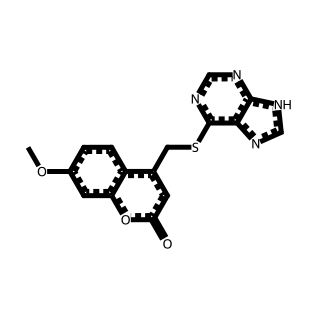 COc1ccc2c(CSc3ncnc4[nH]cnc34)cc(=O)oc2c1